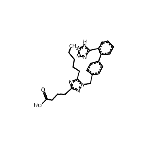 CCCCCc1nc(CCCC(=O)O)nn1Cc1ccc(-c2ccccc2-c2nnn[nH]2)cc1